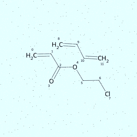 C=CC(=O)OCCCl.C=CC=C